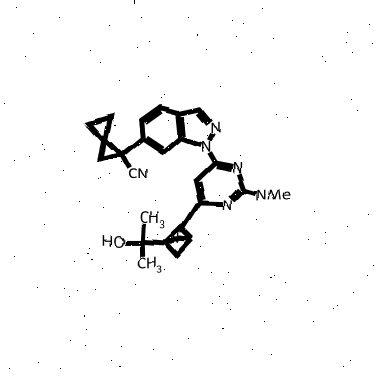 CNc1nc(N2CC3(C(C)(C)O)CC2C3)cc(-n2ncc3ccc(C4(C#N)CC45CC5)cc32)n1